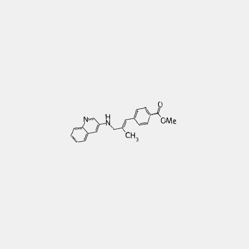 COC(=O)c1ccc(C=C(C)CNc2cnc3ccccc3c2)cc1